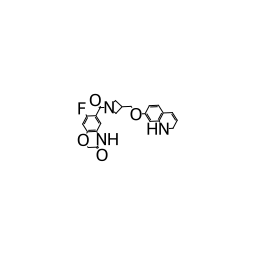 O=C1COc2cc(F)c(C(=O)N3CC(COc4ccc5c(c4)NCC=C5)C3)cc2N1